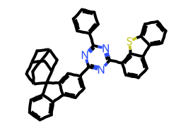 c1ccc(-c2nc(-c3ccc4c(c3)C3(c5ccccc5-4)C4CC5CC(C4)CC3C5)nc(-c3cccc4c3sc3ccccc34)n2)cc1